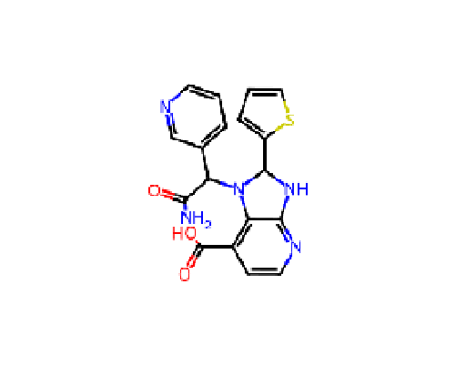 NC(=O)C(c1cccnc1)N1c2c(C(=O)O)ccnc2NC1c1cccs1